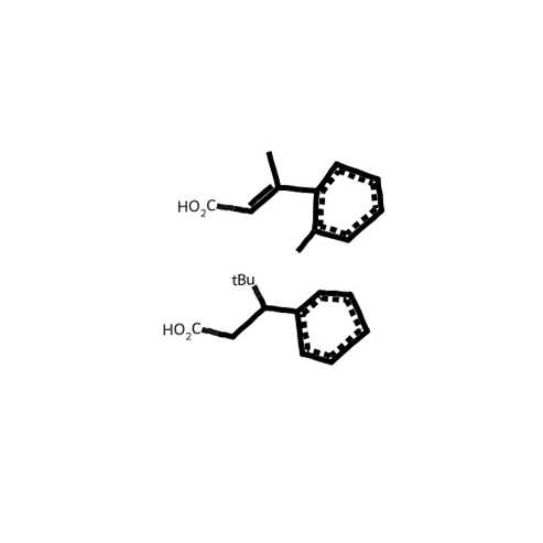 CC(=CC(=O)O)c1ccccc1C.CC(C)(C)C(CC(=O)O)c1ccccc1